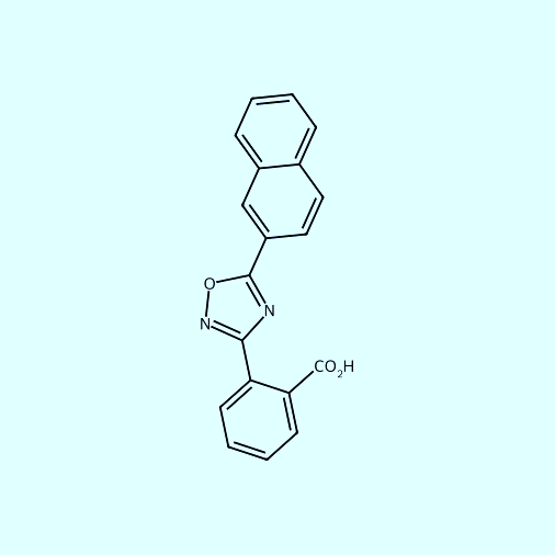 O=C(O)c1ccccc1-c1noc(-c2ccc3ccccc3c2)n1